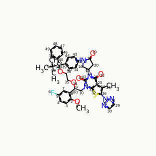 COc1ccc(F)cc1[C@H](Cn1c(=O)n([C@@H]2CNC(=O)C2)c(=O)c2c(C)c(-n3nccn3)sc21)OCCO[Si](c1ccccc1)(c1ccccc1)C(C)(C)C